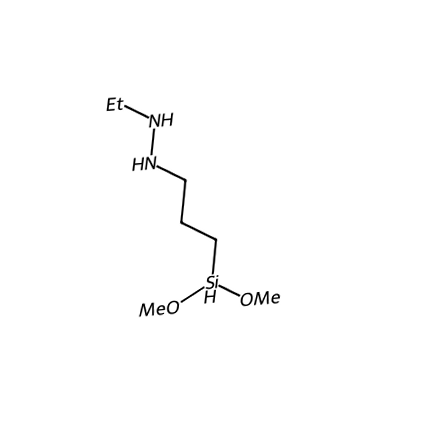 CCNNCCC[SiH](OC)OC